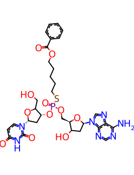 Nc1ncnc2c1ncn2[C@H]1C[C@@H](O)[C@@H](COP(=O)(O[C@@H]2C[C@H](n3ccc(=O)[nH]c3=O)OC2CO)SCCCCCOC(=O)c2ccccc2)O1